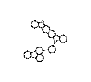 c1cc(-c2ccc3c4c(cccc24)-c2ccccc2-3)cc(-n2c3ccccc3c3cc4cc5oc6ccccc6c5cc4cc32)c1